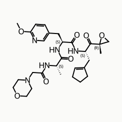 COc1ccc(C[C@H](NC(=O)[C@H](C)NC(=O)CN2CCOCC2)C(=O)N[C@@H](CC2=CCCC2)C(=O)[C@@]2(C)CO2)cn1